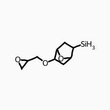 [SiH3]C1CC2OC1CC2OCC1CO1